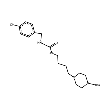 CC(C)(C)N1CCN(CCCCNC(=O)NCc2ccc(Cl)cc2)CC1